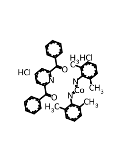 Cc1cccc(C)c1[N]=[Co]=[N]c1c(C)cccc1C.Cl.Cl.O=C(c1ccccc1)c1cccc(C(=O)c2ccccc2)n1